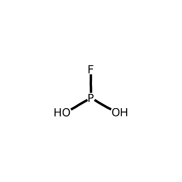 OP(O)F